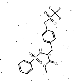 COC(=O)[C@H](Cc1ccc(OS(=O)(=O)C(F)(F)F)cc1)NS(=O)(=O)c1ccccc1